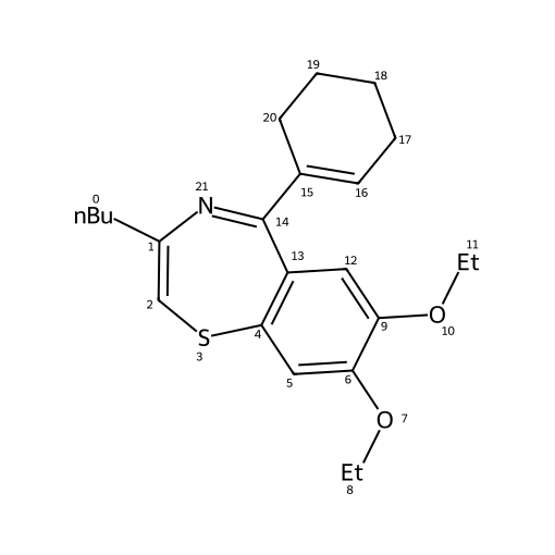 CCCCC1=CSc2cc(OCC)c(OCC)cc2C(C2=CCCCC2)=N1